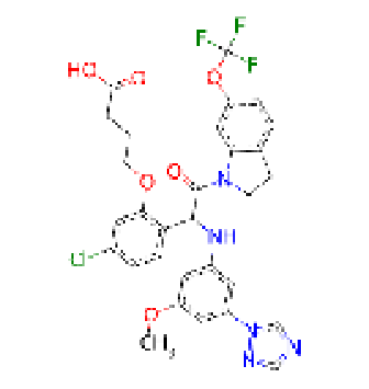 COc1cc(NC(C(=O)N2CCc3ccc(OC(F)(F)F)cc32)c2ccc(Cl)cc2OCCCC(=O)O)cc(-n2cncn2)c1